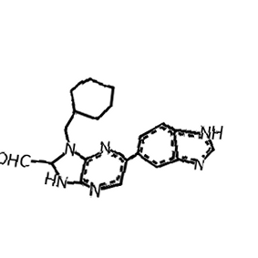 O=CC1Nc2ncc(-c3ccc4[nH]cnc4c3)nc2N1CC1CCCCC1